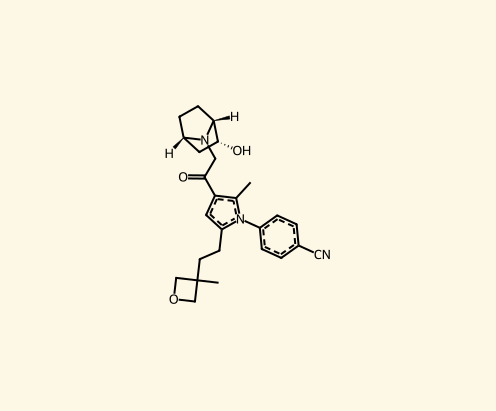 Cc1c(C(=O)CN2[C@H]3CC[C@@H]2[C@H](O)C3)cc(CCC2(C)COC2)n1-c1ccc(C#N)cc1